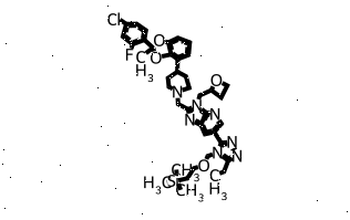 CCc1nnc(-c2cnc3c(c2)nc(CN2CCC(c4cccc5c4OC(C)(c4ccc(Cl)cc4F)O5)CC2)n3CC2CCO2)n1COCC[Si](C)(C)C